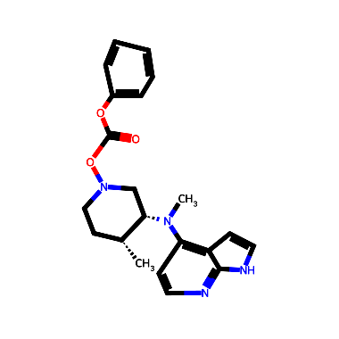 C[C@@H]1CCN(OC(=O)Oc2ccccc2)C[C@@H]1N(C)c1ccnc2[nH]ccc12